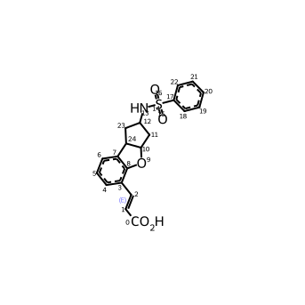 O=C(O)/C=C/c1cccc2c1OC1CC(NS(=O)(=O)c3ccccc3)CC21